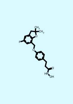 CC1(C)Cc2cc(F)cc(COc3ccc(CCC(=O)NO)cc3)c2O1